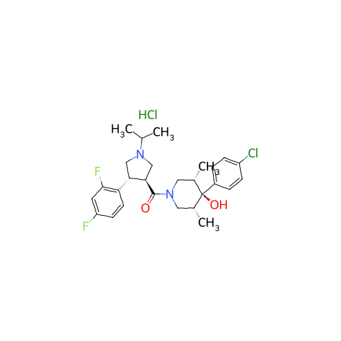 CC(C)N1C[C@@H](C(=O)N2C[C@@H](C)[C@@](O)(c3ccc(Cl)cc3)[C@@H](C)C2)[C@H](c2ccc(F)cc2F)C1.Cl